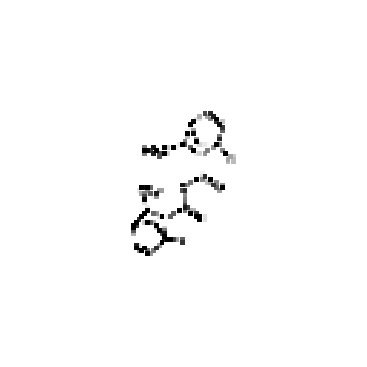 O=C(O)C1C2C=CC(Cl)(C2)C1C(=O)OC(=O)C1C(C(=O)O)C2C=CC1(Cl)C2